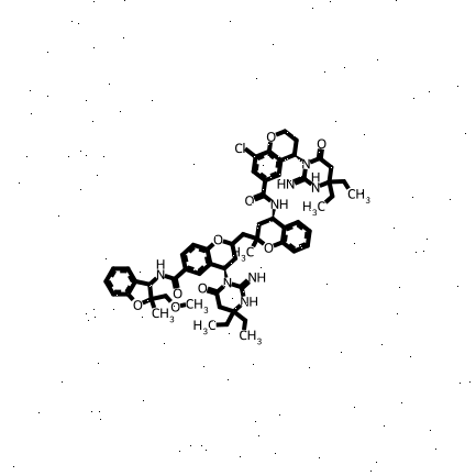 CCC1(CC)CC(=O)N([C@@H]2CC(CC3(C)C[C@@H](NC(=O)c4cc(Cl)c5c(c4)[C@H](N4C(=N)NC(CC)(CC)CC4=O)CCO5)c4ccccc4O3)Oc3ccc(C(=O)NC4c5ccccc5OC4(C)COC)cc32)C(=N)N1